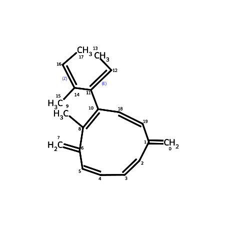 C=c1ccccc(=C)c(C)c(C(=C/C)/C(C)=C\C)cc1